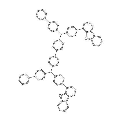 c1ccc(-c2ccc(C(c3ccc(-c4ccc(C(c5ccc(-c6ccccc6)cc5)c5ccc(-c6cccc7c6oc6ccccc67)cc5)cc4)cc3)c3ccc(-c4cccc5c4oc4ccccc45)cc3)cc2)cc1